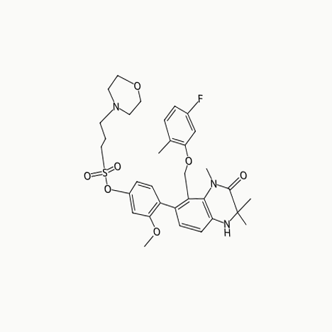 COc1cc(OS(=O)(=O)CCCN2CCOCC2)ccc1-c1ccc2c(c1COc1cc(F)ccc1C)N(C)C(=O)C(C)(C)N2